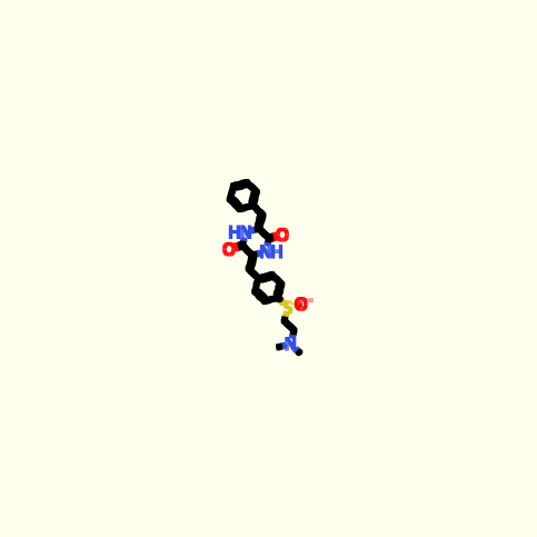 CN(C)CC[S+]([O-])c1ccc(C=c2[nH]c(=O)c(=Cc3ccccc3)[nH]c2=O)cc1